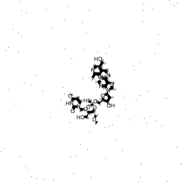 COC[C@@H](OP(=O)(S)OC[C@H]1O[C@@H](n2cnc3c(/N=C\c4c(CO)cnc(C)c4O)ncnc32)C[C@H]1O)[C@@H](CO)OCn1ccc(=O)[nH]c1=O